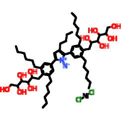 CCCCCCc1cc(C2=CC(CCCC)=C(c3cc(CCCCCC)c(CC(O)C(O)C(O)C(O)CO)c(CCCCCC)c3)[N+]2=[N-])cc(CCCCCC)c1CC(O)C(O)C(O)C(O)CO.[Cl][Ni][Cl]